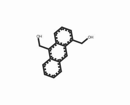 OCc1cccc2c(CO)c3ccccc3cc12